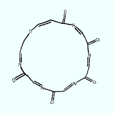 O=C1C=COCC=NC(=O)C=NC(=O)C=NC(=O)C=NC(=O)C=N1